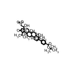 CC(C)C1=C2[C@H]3CC[C@@H]4[C@@]5(C)CC=C(c6ccc(C(=O)OC(C)(C)C)cc6)C(C)(C)[C@@H]5CC[C@@]4(C)[C@]3(C)CC[C@@]2([C@@H](O)C[N+](=O)[O-])CC1=O